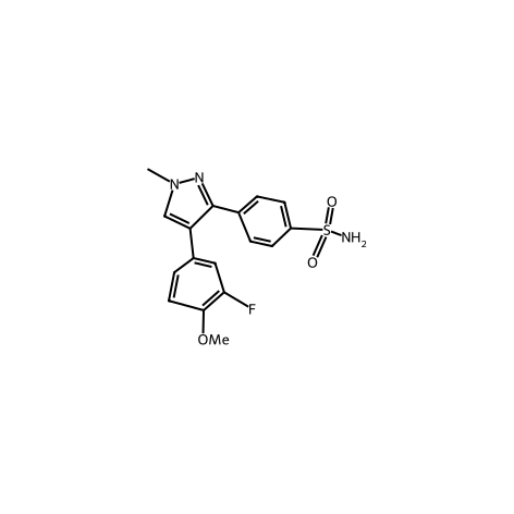 COc1ccc(-c2cn(C)nc2-c2ccc(S(N)(=O)=O)cc2)cc1F